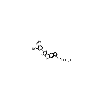 CCc1cc2c(cnn2CCCC(=O)O)cc1-c1noc(-c2ccc(OC(C)C)c(C#N)c2)n1